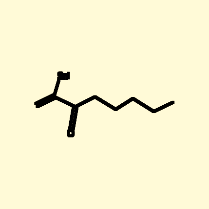 C=[C]([Sn])C(=O)CCCCC